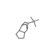 C[N+](C)(C)C1CC2CC1C1CCCC21